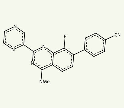 CNc1nc(-c2cnccn2)nc2c(F)c(-c3ccc(C#N)cc3)ccc12